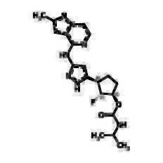 Cc1cc2c(Nc3cc([C@H]4CC[C@@H](OC(=O)NC(C)C)[C@@H]4F)[nH]n3)nccn2n1